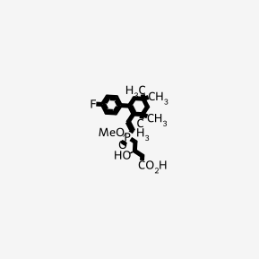 COP(=O)(/C=C/C1=C(c2ccc(F)cc2)CC(C)(C)CC1(C)C)C[C@@H](O)CC(=O)O